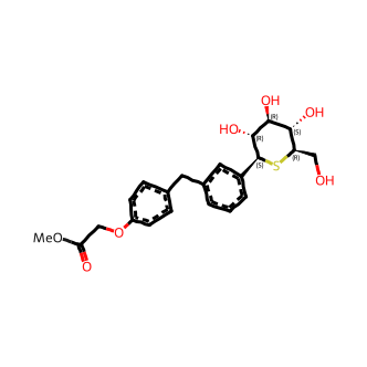 COC(=O)COc1ccc(Cc2cccc([C@@H]3S[C@H](CO)[C@@H](O)[C@H](O)[C@H]3O)c2)cc1